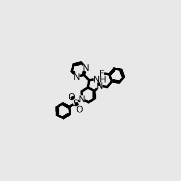 O=S(=O)(c1ccccc1)N1CC=C2C(C1)C(c1ncccn1)NN2Cc1ccccc1F